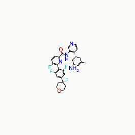 CC1=C[C@H](N)C[C@H](c2ccncc2NC(=O)c2ccc(F)c(-c3c(F)cc(C4(F)CCOCC4)cc3F)n2)C1